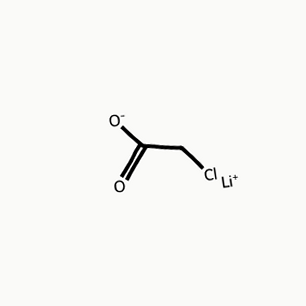 O=C([O-])CCl.[Li+]